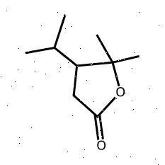 CC(C)C1CC(=O)OC1(C)C